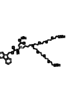 COCCOCCOCCOCCN(CCCC[C@@H](CC(=O)OC(C)(C)C)NC(=O)OCC1c2ccccc2-c2ccccc21)CCOCCOCCOCCOC